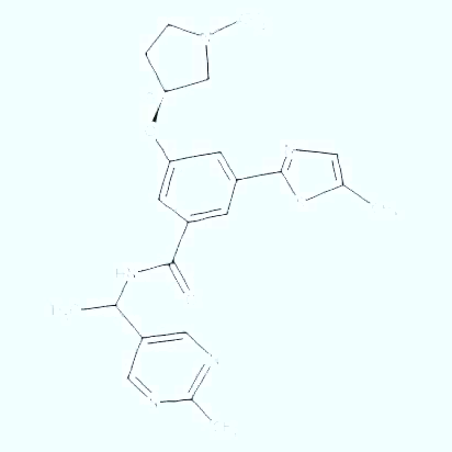 Cc1cnc(-c2cc(O[C@H]3CCN(C)C3)cc(C(=O)NC(C)c3cnc(C(F)(F)F)nc3)c2)s1